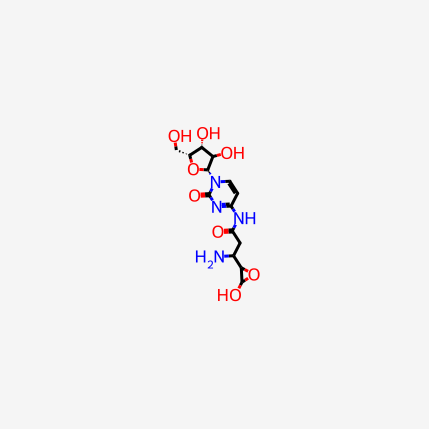 NC(CC(=O)Nc1ccn([C@@H]2O[C@H](CO)[C@H](O)C2O)c(=O)n1)C1OC1O